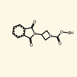 CC(C)(C)OC(=O)N1CC(N2C(=O)c3ccccc3C2=O)C1